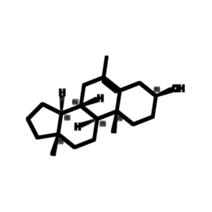 CC1=C2C[C@@H](O)CC[C@]2(C)[C@H]2CC[C@]3(C)CCC[C@H]3[C@@H]2C1